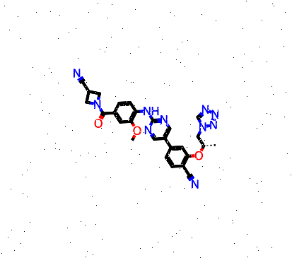 COc1cc(C(=O)N2CC(C#N)C2)ccc1Nc1ncc(-c2ccc(C#N)c(O[C@@H](C)Cn3cnnn3)c2)cn1